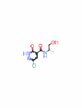 C[C@@H](CO)NC(=O)c1cc(Cl)n[nH]c1=O